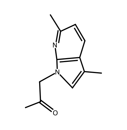 CC(=O)Cn1cc(C)c2ccc(C)nc21